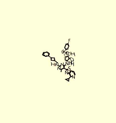 Cc1nc(NCC2CC(c3ccccc3)C2)nc(N[C@@H]2C[C@H](CS(=O)(=O)c3ccc(F)cc3)[C@@H](O)[C@H]2O)c1-c1nc2c(C3CC3)nccc2s1